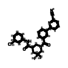 N#Cc1cccc(-c2cccc(C(=O)N3CC(C(=O)Nc4cccc(Cl)c4)CC(F)(F)C3)c2)n1